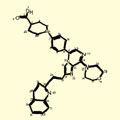 O=C(O)C1CCN(c2ccc(-c3cnc(N4CCOCC4)c4nc(C=Cc5ccc6ccccc6n5)cn34)cc2)CC1